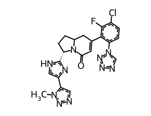 Cn1nncc1-c1c[nH]c([C@@H]2CCC3CC(c4c(-n5cnnn5)ccc(Cl)c4F)=CC(=O)N32)n1